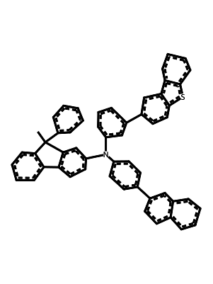 CC1(c2ccccc2)c2ccccc2-c2ccc(N(c3ccc(-c4ccc5ccccc5c4)cc3)c3cccc(-c4ccc5sc6ccccc6c5c4)c3)cc21